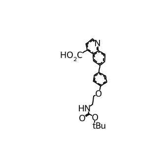 CC(C)(C)OC(=O)NCCOc1ccc(-c2ccc3nccc(C(=O)O)c3c2)cc1